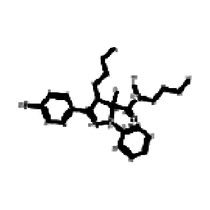 CCCCC1C(c2ccc(F)cc2)=NN(c2ccccc2)C1(C)C(=O)N(I)CCCC